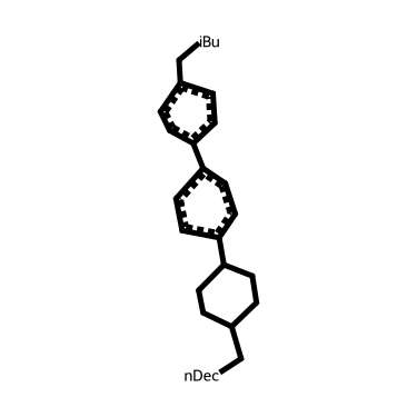 CCCCCCCCCCCC1CCC(c2ccc(-c3ccc(CC(C)CC)cc3)cc2)CC1